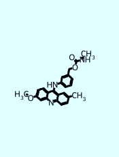 CNC(=O)OCc1cccc(Nc2c3ccc(OC)cc3nc3ccc(C)cc23)c1